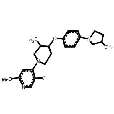 COc1cc(N2CCC(Oc3ccc(N4CCC(C)C4)cc3)C(C)C2)c(Cl)cn1